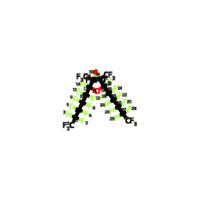 FC(F)(F)C(F)(F)C(F)(F)C(F)(F)C(F)(F)C(F)(OC(F)(C(F)(F)C(F)(F)C(F)(F)C(F)(F)C(F)(F)F)C(F)(C(F)(F)F)C(F)(F)F)C(F)(C(F)(F)F)C(F)(F)F